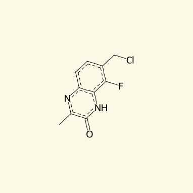 Cc1nc2ccc(CCl)c(F)c2[nH]c1=O